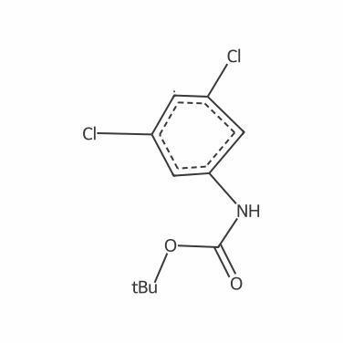 CC(C)(C)OC(=O)Nc1cc(Cl)[c]c(Cl)c1